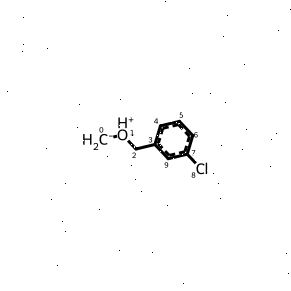 [CH2-][OH+]Cc1cccc(Cl)c1